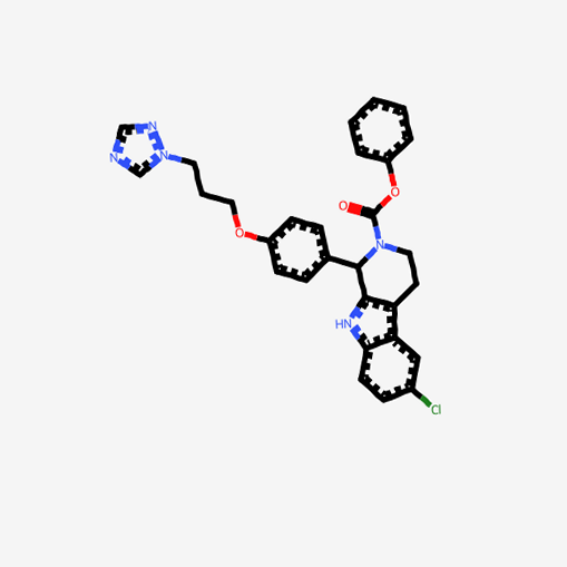 O=C(Oc1ccccc1)N1CCc2c([nH]c3ccc(Cl)cc23)C1c1ccc(OCCCn2cncn2)cc1